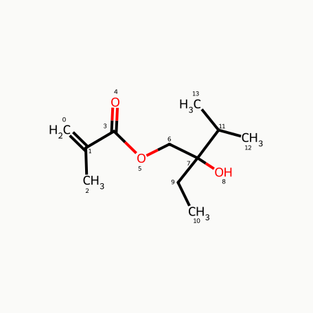 C=C(C)C(=O)OCC(O)(CC)C(C)C